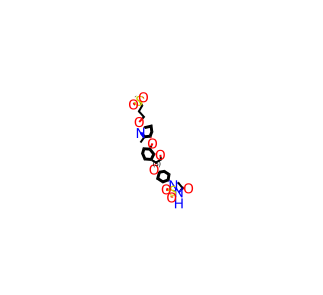 Cc1nc(OCCCS(C)(=O)=O)ccc1Oc1cccc2c1OC[C@H]2Oc1ccc(N2CC(=O)NS2(=O)=O)cc1